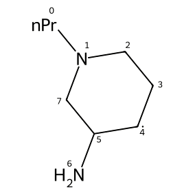 CCCN1CC[CH]C(N)C1